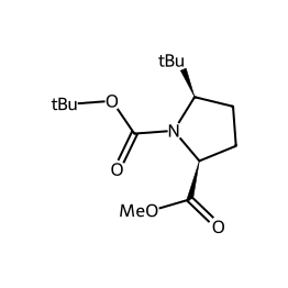 COC(=O)[C@@H]1CC[C@H](C(C)(C)C)N1C(=O)OC(C)(C)C